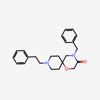 O=C1COC2(CCN(CCc3ccccc3)CC2)CN1Cc1ccccc1